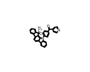 CC1(C)c2ccccc2-c2ccc3c4ccccc4n(-c4ccc(C(=O)c5ccncc5)cc4)c3c21